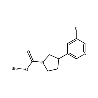 CC(C)(C)OC(=O)N1CCC(c2cncc(Cl)c2)C1